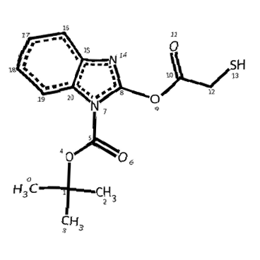 CC(C)(C)OC(=O)n1c(OC(=O)CS)nc2ccccc21